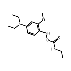 CCNC(=S)ONc1ccc(N(CC)CC)cc1OC